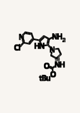 CC(C)(C)OC(=O)N[C@H]1CCN(c2[nH]c(-c3ccnc(Cl)c3)cc2N)C1